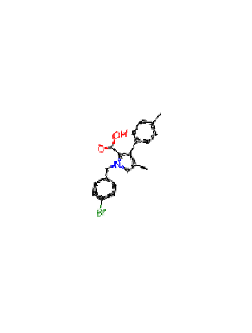 Cc1ccc(-c2c(C)cn(Cc3ccc(Br)cc3)c2C(=O)O)cc1